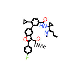 C=C/C=C(\N=C)C1(NC(=O)c2ccc(C3CC3)c(-c3ccc4oc(-c5ccc(F)cc5)c(C(=O)NC)c4c3)c2)CC1